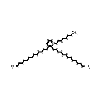 CCCCCCCCCCCCCCc1ccc[n+](CCCCCCCC)c1CCCCCCCCCCCCCC